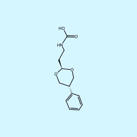 O=C(O)NCC[C@H]1OC[C@H](c2ccccc2)CO1